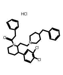 Cl.O=C(Cc1ccccc1)N1CCCC(c2ccc(Cl)c(Cl)c2)C1CCN1CCC(Cc2ccccc2)CC1